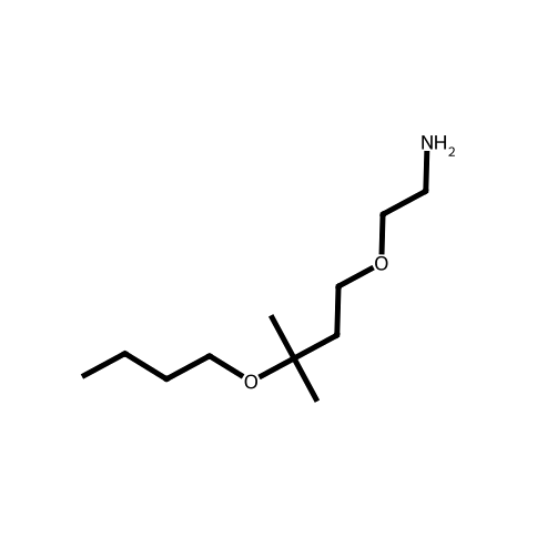 CCCCOC(C)(C)CCOCCN